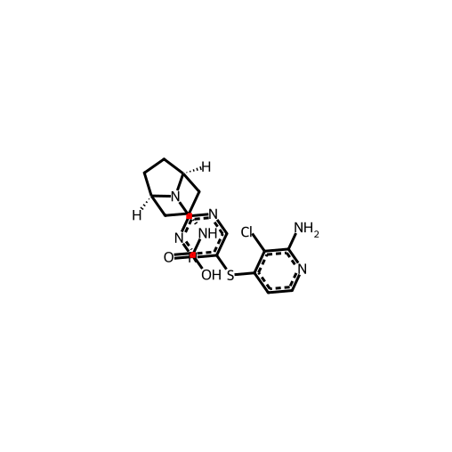 Nc1nccc(Sc2cnc(N3[C@@H]4CC[C@H]3C[C@H](NC(=O)O)C4)nn2)c1Cl